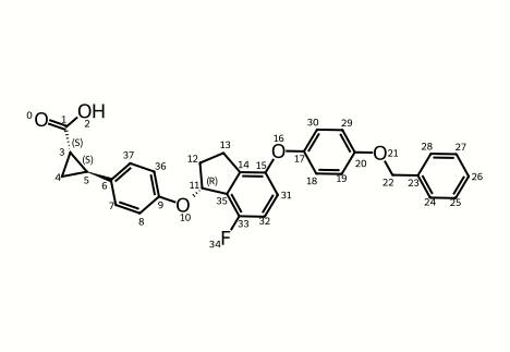 O=C(O)[C@H]1C[C@@H]1c1ccc(O[C@@H]2CCc3c(Oc4ccc(OCc5ccccc5)cc4)ccc(F)c32)cc1